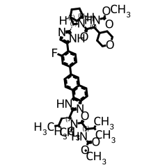 COC(=O)N[C@H](C(=O)N(C)[C@@H](CC(C)C)c1nc2ccc3cc(-c4ccc(-c5cnc([C@@H]6[C@H]7CC[C@H](C7)N6C(=O)[C@@H](NC(=O)OC)C6CCOCC6)[nH]5)c(F)c4)ccc3c2[nH]1)C(C)C